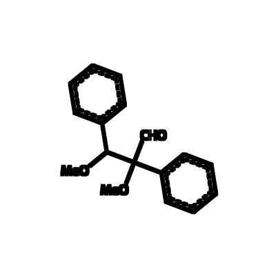 COC(c1ccccc1)C(C=O)(OC)c1ccccc1